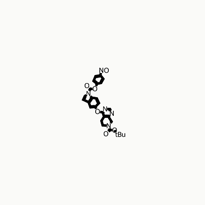 CC(C)(C)OC(=O)N1CCc2c(ncnc2Oc2ccc3c(ccn3C(=O)Oc3ccc(N=O)cc3)c2)C1